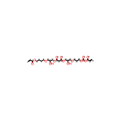 C=CC(=O)OCCCCOCC(O)COC(=O)CC(=O)OCC(O)COCCCOC(=O)OC(=O)C=C